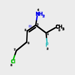 CC(F)/C(N)=C\CCCl